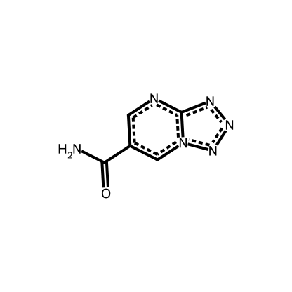 NC(=O)c1cnc2nnnn2c1